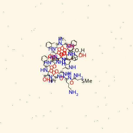 CC[C@H](C)[C@H](NC(=O)[C@H](Cc1ccccc1)NC(=O)[C@@H](NC(=O)[C@@H](NC(=O)[C@H](Cc1c[nH]c2ccccc12)NC(=O)[C@H](CCCCN)NC(=O)[C@@H](N)CCSC)C(C)C)[C@@H](C)O)C(=O)N[C@@H](CO)C(=O)N[C@@H](CC(C)C)C(=O)N[C@@H](Cc1ccccc1)C(=O)N[C@@H](CC(C)C)C(=O)N[C@@H](Cc1ccccc1)C(=O)N[C@@H](CO)C(=O)N[C@@H](C)C(=O)N[C@@H](Cc1ccc(O)cc1)C(=O)N[C@@H](CO)C(=O)O